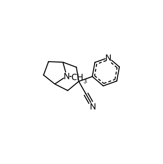 CN1C2CCC1CC(C#N)(c1cccnc1)C2